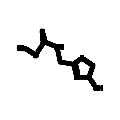 CC(C)(C)OC(=O)NCC1=NC(O)CS1